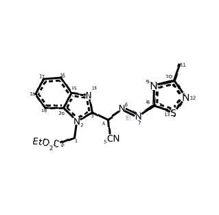 CCOC(=O)Cn1c(C(C#N)/N=N/c2nc(C)ns2)nc2ccccc21